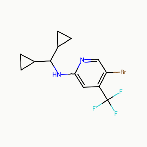 FC(F)(F)c1cc(NC(C2CC2)C2CC2)ncc1Br